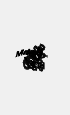 COCOc1c(-c2cc(C)cc(-n3c4ccccc4c4ccccc43)c2O)cc(Cc2ccccc2)cc1-c1cc(C)cc(-n2c3ccccc3c3ccccc32)c1O